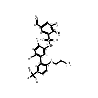 NCCOc1ccc(C(F)(F)F)cc1-c1cc(NS(=O)(=O)c2cc(C=O)cc(Br)c2O)c(F)cc1F